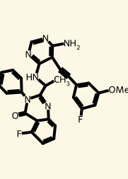 COc1cc(F)cc(C#Cc2c(N)ncnc2NC(C)c2nc3cccc(F)c3c(=O)n2-c2ccccc2)c1